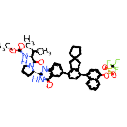 COC(=O)N[C@@H](C(=O)N1CCC[C@H]1c1nc2ccc(-c3ccc(-c4ccc(OS(=O)(=O)C(F)(F)F)c5ccccc45)c4c3CC3(CCCC3)C4)cc2c(=O)[nH]1)C(C)C